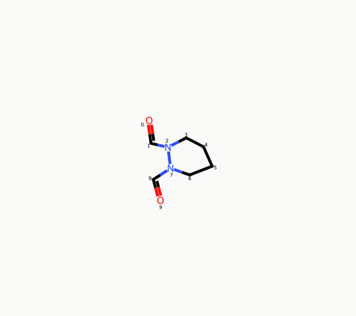 O=CN1CCCCN1C=O